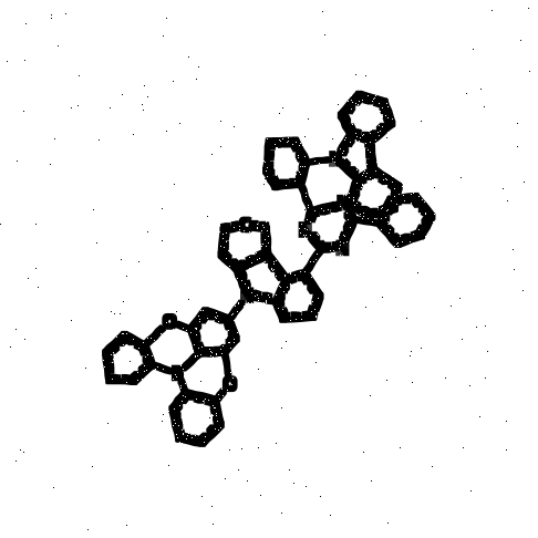 c1ccc(-c2nc(-c3ccccc3-n3c4ccccc4c4ccccc43)nc(-c3cccc4c3c3ccccc3n4-c3cc4c5c(c3)Oc3ccccc3B5c3ccccc3O4)n2)cc1